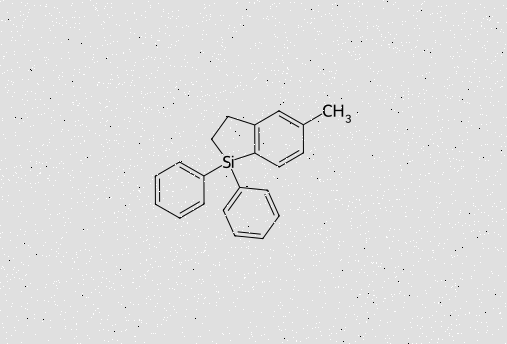 Cc1ccc2c(c1)CC[Si]2(c1ccccc1)c1ccccc1